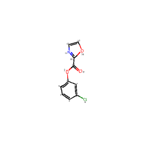 O=C(Oc1cccc(Cl)c1)c1ncco1